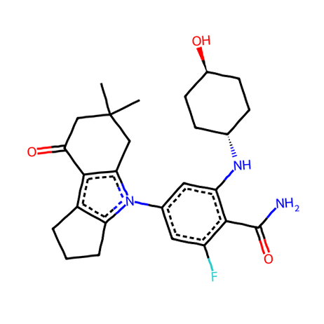 CC1(C)CC(=O)c2c3c(n(-c4cc(F)c(C(N)=O)c(N[C@H]5CC[C@H](O)CC5)c4)c2C1)CCC3